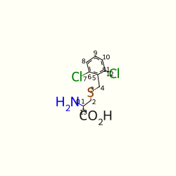 N[C@@H](CSCc1c(Cl)cccc1Cl)C(=O)O